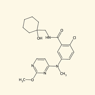 COc1nccc(N(C)c2ccc(Cl)c(C(=O)NCC3(O)CCCCC3)c2)n1